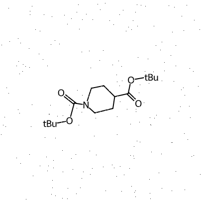 CC(C)(C)OC(=O)C1CCN(C(=O)OC(C)(C)C)CC1